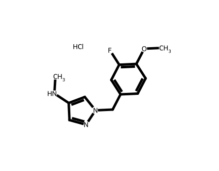 CNc1cnn(Cc2ccc(OC)c(F)c2)c1.Cl